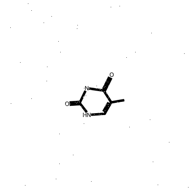 CC1=CNC(=O)[N]C1=O